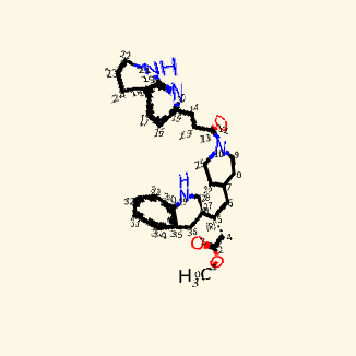 COC(=O)C[C@@H](CC1CCN(C(=O)CCc2ccc3c(n2)NCCC3)CC1)[C@@H]1CNc2ccccc2C1